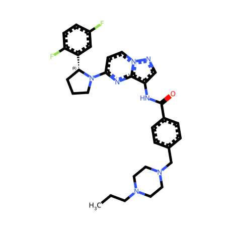 CCCN1CCN(Cc2ccc(C(=O)Nc3cnn4ccc(N5CCC[C@@H]5c5cc(F)ccc5F)nc34)cc2)CC1